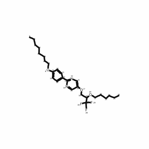 CCCCCCCCOc1ccc(-c2ncc(OCC(OCCCCCC)C(F)(F)F)cn2)cc1